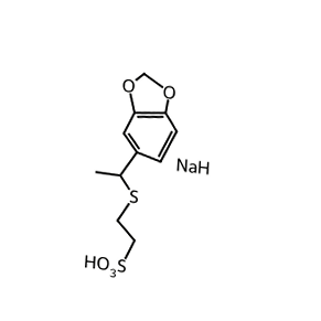 CC(SCCS(=O)(=O)O)c1ccc2c(c1)OCO2.[NaH]